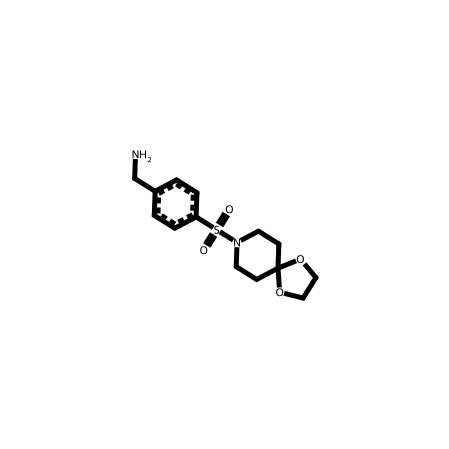 NCc1ccc(S(=O)(=O)N2CCC3(CC2)OCCO3)cc1